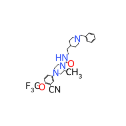 C[C@H]1CN(c2ccc(OC(F)(F)F)c(C#N)c2)CCN1C(=O)NCCC1CCN(Cc2ccccc2)CC1